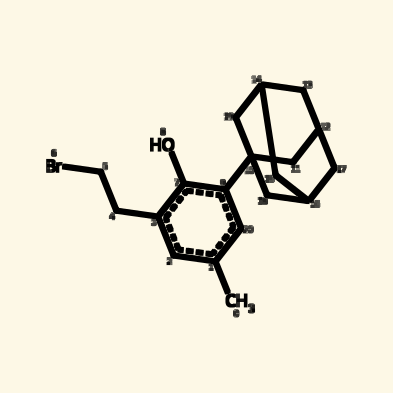 Cc1cc(CCBr)c(O)c(C23CC4CC(CC(C4)C2)C3)c1